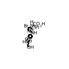 CC(C)[C@@H](Nc1nc(Nc2ccc(S(=O)(=O)NCCO)cc2)ncc1Br)C(=O)O